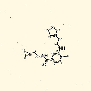 Cc1ccc(C(=O)NOCC2CC2)cc1NCCN1CCCC1